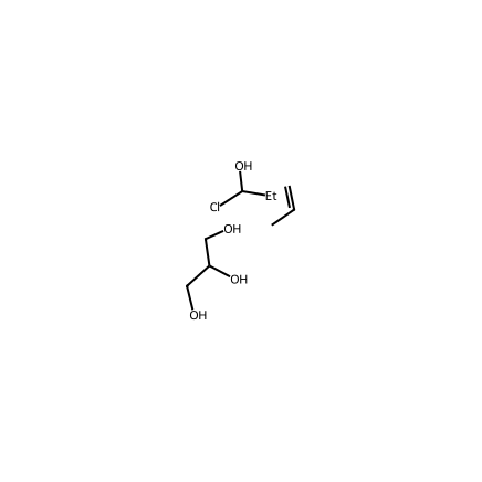 C=CC.CCC(O)Cl.OCC(O)CO